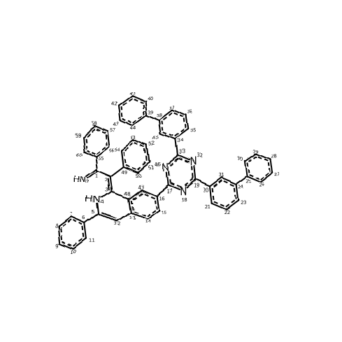 N=C(/C(=C1\NC(c2ccccc2)=Cc2ccc(-c3nc(-c4cccc(-c5ccccc5)c4)nc(-c4cccc(-c5ccccc5)c4)n3)cc21)c1ccccc1)c1ccccc1